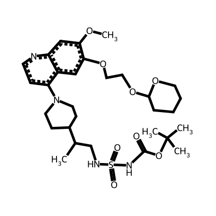 COc1cc2nccc(N3CCC(C(C)CNS(=O)(=O)NC(=O)OC(C)(C)C)CC3)c2cc1OCCOC1CCCCO1